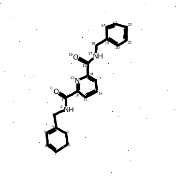 O=C(NCC1=CC=CCC1)c1cccc(C(=O)NCc2ccccc2)n1